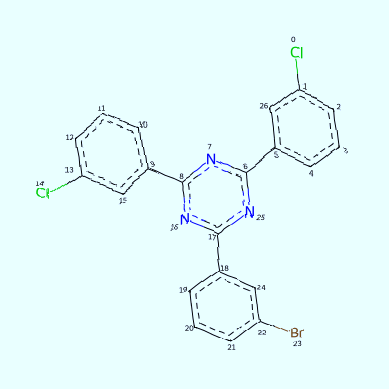 Clc1cccc(-c2nc(-c3cccc(Cl)c3)nc(-c3cccc(Br)c3)n2)c1